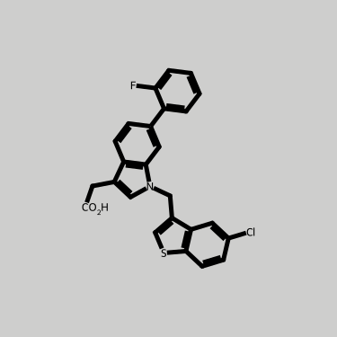 O=C(O)Cc1cn(Cc2csc3ccc(Cl)cc23)c2cc(-c3ccccc3F)ccc12